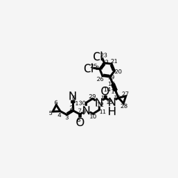 N#CC(=CC1CC1)C(=O)N1CCN(C(=O)NC2(C#Cc3ccc(Cl)c(Cl)c3)CC2)CC1